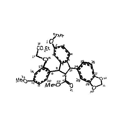 CCCOc1ccc2c(c1)C(c1ccc(OC)cc1OCC(=O)OCC)C(C(=O)OC)C2c1ccc2c(c1)OCO2